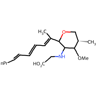 CCCC=CC=CC=C(C)C1OC[C@H](C)C(OC)C1NCC(=O)O